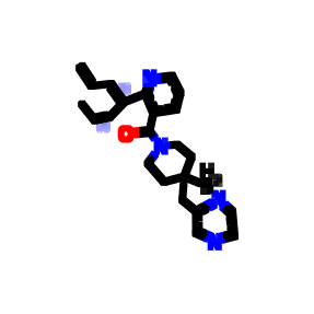 BC1(Cc2cnccn2)CCN(C(=O)c2cccnc2C(/C=C\C)=C/C=C)CC1